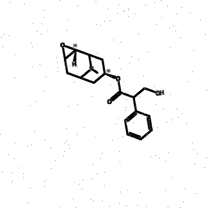 CN1C2CC3O[C@@H]3C1C[C@@H](OC(=O)C(CO)c1ccccc1)C2